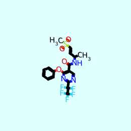 CC(C=CS(C)(=O)=O)NC(=O)c1cnc(C(F)(F)C(F)(F)F)nc1Oc1ccccc1